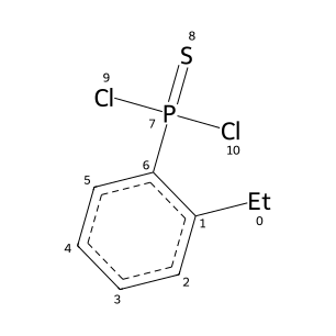 CCc1ccccc1P(=S)(Cl)Cl